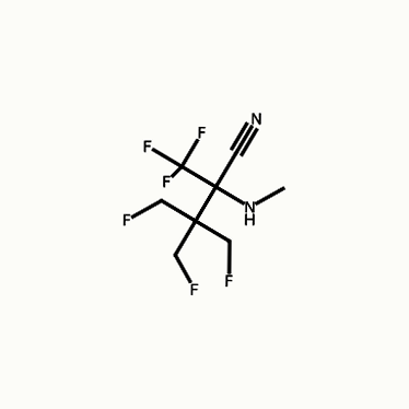 CNC(C#N)(C(F)(F)F)C(CF)(CF)CF